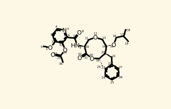 COc1ccnc(C(=O)N[C@H]2COC[C@H](OCC(C)C)[C@@H](Cc3ccccc3)[C@H](C)OC2=O)c1OC(C)=O